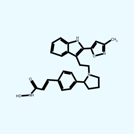 Cc1cc(-c2[nH]c3ccccc3c2CCN2CCCC2c2ccc(/C=C/C(=O)NO)cc2)on1